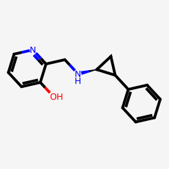 Oc1cccnc1CN[C@H]1CC1c1ccccc1